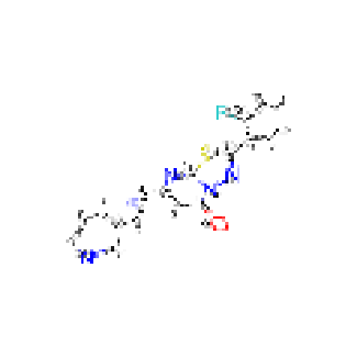 O=c1cc(/C=C/c2cccnc2)nc2sc(-c3ccccc3F)nn12